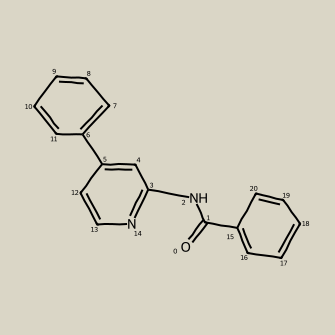 O=C(Nc1cc(-c2ccccc2)ccn1)c1ccccc1